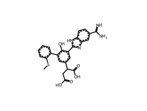 CSc1ccccc1-c1cc(C(CC(=O)O)C(=O)O)cc(-c2nc3cc(C(=N)N)ccc3[nH]2)c1O